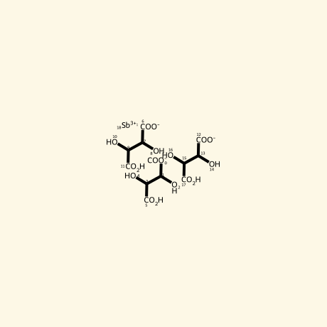 O=C([O-])C(O)C(O)C(=O)O.O=C([O-])C(O)C(O)C(=O)O.O=C([O-])C(O)C(O)C(=O)O.[Sb+3]